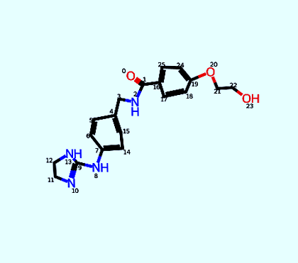 O=C(NCc1ccc(NC2=NCCN2)cc1)c1ccc(OCCO)cc1